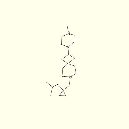 CC(C)CC1(CN2CCC3(CC2)CC(N2CCN(C)CC2)C3)CC1